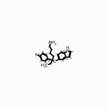 CCC(CCCCN)(Oc1ccc2[nH]ccc2c1)c1ccc(F)cc1